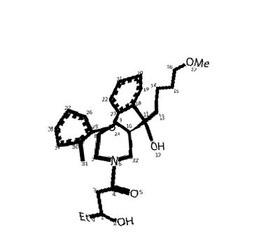 CCC(O)CC(=O)N1CCC[C@@H](C(O)(CCCCOC)c2ccccc2Oc2ccccc2C)C1